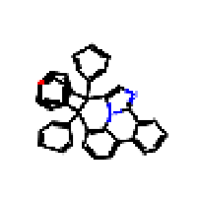 c1ccc(C2(c3ccccc3)c3cccc4c5ccccc5c5ncc(n5c34)C2(c2ccccc2)c2ccccc2)cc1